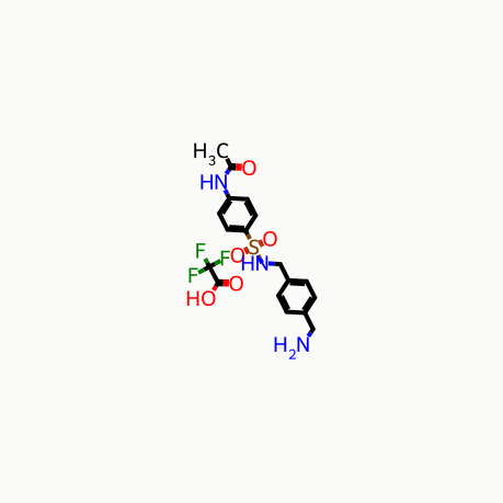 CC(=O)Nc1ccc(S(=O)(=O)NCc2ccc(CN)cc2)cc1.O=C(O)C(F)(F)F